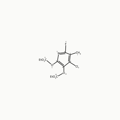 CCOC(=O)Oc1nc(F)c(C)c(Cl)c1OC(=O)OCC